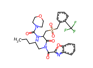 CCCCCN(C(=O)c1nc2ccccc2o1)C(=O)C(CS(=O)(=O)Cc1ccccc1C(F)(F)F)NC(=O)N1CCOCC1